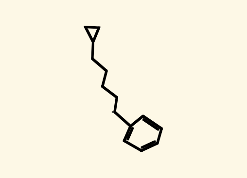 [CH](CCCCC1CC1)c1ccccc1